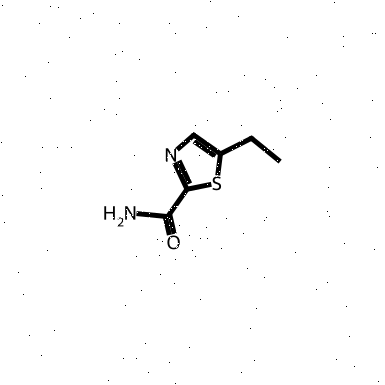 CCc1cnc(C(N)=O)s1